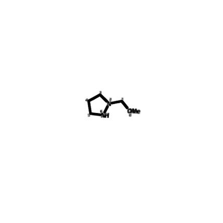 COCN1CCCN1